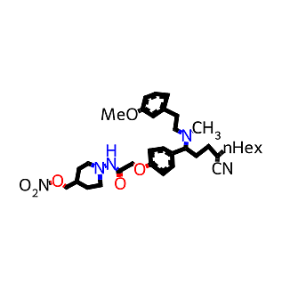 CCCCCCC(C#N)CCC(c1ccc(OCC(=O)NN2CCC(CO[N+](=O)[O-])CC2)cc1)N(C)CCc1cccc(OC)c1